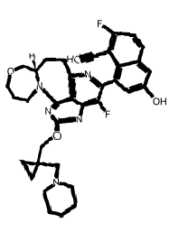 C#Cc1c(F)ccc2cc(O)cc(-c3nc4c5c(nc(OCC6(CN7CCCCC7)CC6)nc5c3F)N3CCCOC[C@@H]3CC4)c12